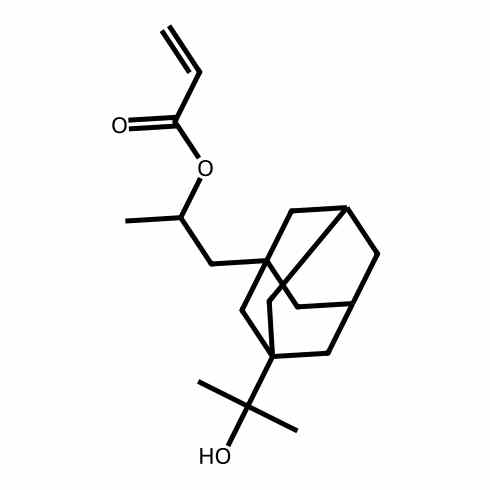 C=CC(=O)OC(C)CC12CC3CC(C1)CC(C(C)(C)O)(C3)C2